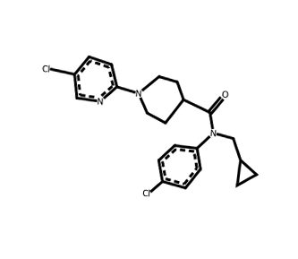 O=C(C1CCN(c2ccc(Cl)cn2)CC1)N(CC1CC1)c1ccc(Cl)cc1